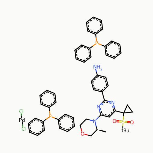 C[C@H]1COCCN1c1cc(C2(S(=O)(=O)C(C)(C)C)CC2)nc(-c2ccc(N)cc2)n1.[Cl][Pd][Cl].c1ccc(P(c2ccccc2)c2ccccc2)cc1.c1ccc(P(c2ccccc2)c2ccccc2)cc1